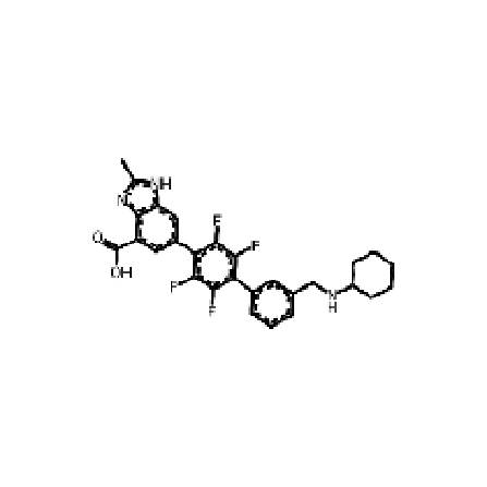 Cc1nc2c(C(=O)O)cc(-c3c(F)c(F)c(-c4cccc(CNC5CCCCC5)c4)c(F)c3F)cc2[nH]1